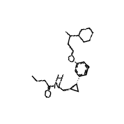 CCCC(=O)NC[C@@H]1C[C@H]1c1cccc(OCCC(C)C2CCCCC2)c1